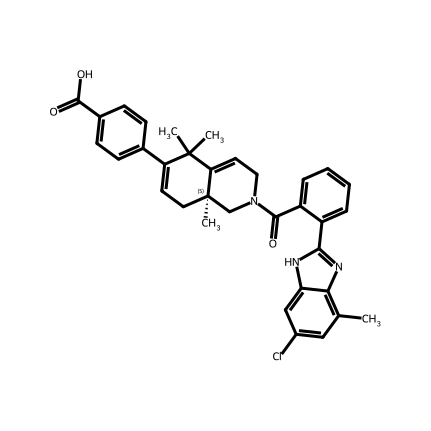 Cc1cc(Cl)cc2[nH]c(-c3ccccc3C(=O)N3CC=C4C(C)(C)C(c5ccc(C(=O)O)cc5)=CC[C@]4(C)C3)nc12